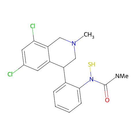 CNC(=O)N(S)c1ccccc1C1CN(C)Cc2c(Cl)cc(Cl)cc21